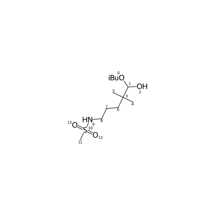 CC(C)COC(O)C(C)(C)CCCNS(C)(=O)=O